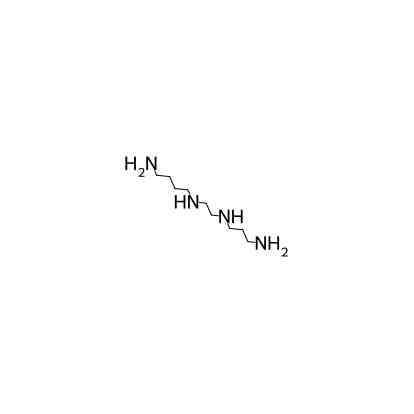 NCCCCNCCNCCCN